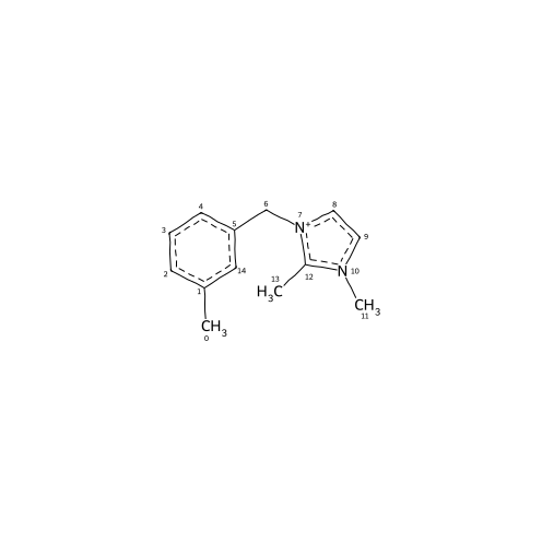 Cc1cccc(C[n+]2ccn(C)c2C)c1